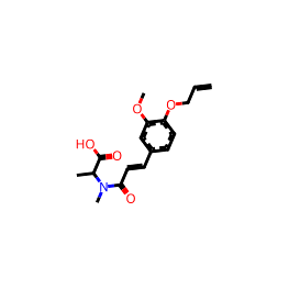 C=CCOc1ccc(C=CC(=O)N(C)C(C)C(=O)O)cc1OC